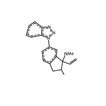 C=CC1(NC)c2cc(-n3nnc4ccccc43)ccc2CC1C